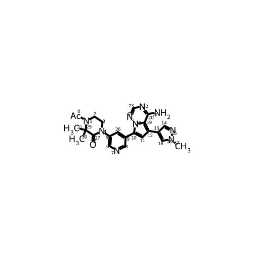 CC(=O)N1CCN(c2cncc(-c3cc(-c4cnn(C)c4)c4c(N)ncnn34)c2)C(=O)C1(C)C